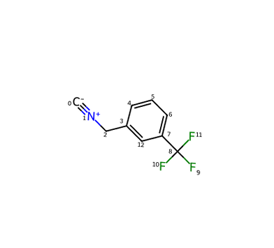 [C-]#[N+]Cc1cccc(C(F)(F)F)c1